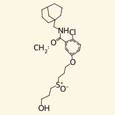 O=C(NCC12CCCC(CCC1)C2)c1cc(OCCC[S+]([O-])CCCO)ccc1Cl.[CH2]